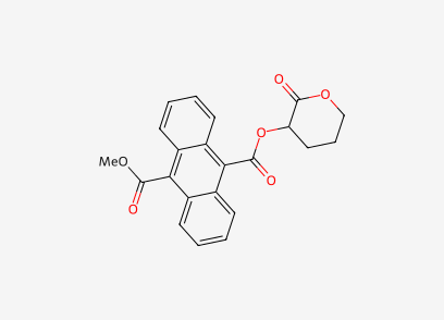 COC(=O)c1c2ccccc2c(C(=O)OC2CCCOC2=O)c2ccccc12